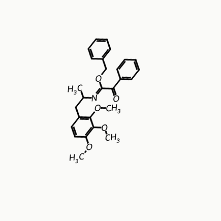 COc1ccc(CC(C)N=C(OCc2ccccc2)C(=O)c2ccccc2)c(OC)c1OC